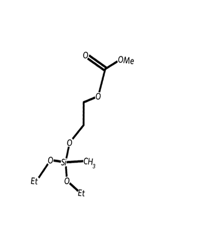 CCO[Si](C)(OCC)OCCOC(=O)OC